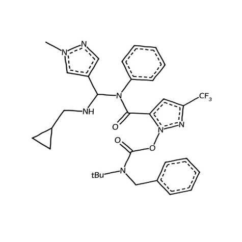 Cn1cc(C(NCC2CC2)N(C(=O)c2cc(C(F)(F)F)nn2OC(=O)N(Cc2ccccc2)C(C)(C)C)c2ccccc2)cn1